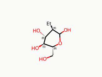 CC[C@H]1C(O)O[C@H](CO)[C@@H](O)[C@@H]1O